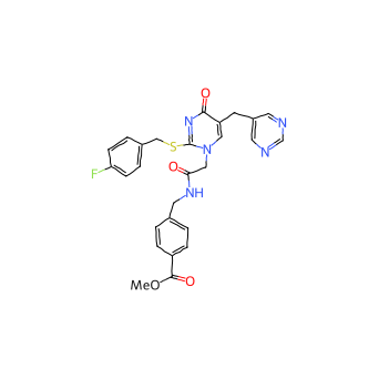 COC(=O)c1ccc(CNC(=O)Cn2cc(Cc3cncnc3)c(=O)nc2SCc2ccc(F)cc2)cc1